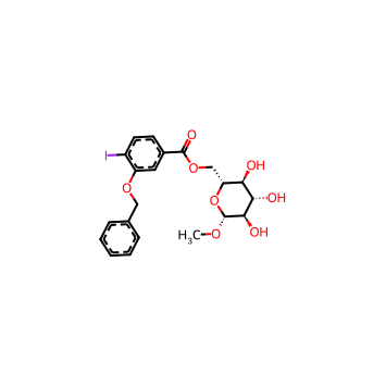 CO[C@@H]1O[C@H](COC(=O)c2ccc(I)c(OCc3ccccc3)c2)[C@@H](O)[C@H](O)[C@H]1O